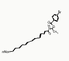 CCCCCCCCCC=CC=CC=CC=CC=CC=CC(=O)NC(C)OC(=O)c1ccc(Br)cc1